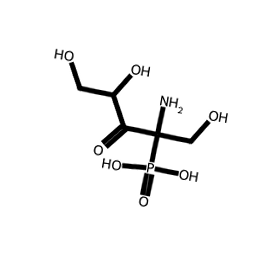 NC(CO)(C(=O)C(O)CO)P(=O)(O)O